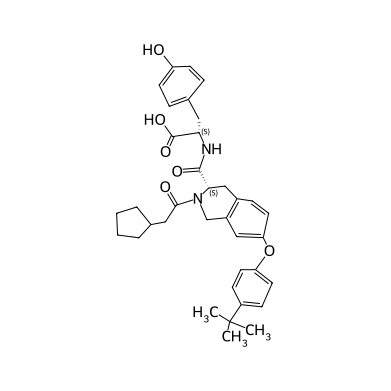 CC(C)(C)c1ccc(Oc2ccc3c(c2)CN(C(=O)CC2CCCC2)[C@H](C(=O)N[C@@H](Cc2ccc(O)cc2)C(=O)O)C3)cc1